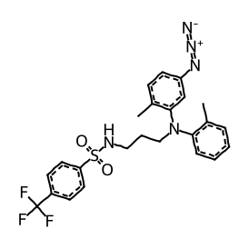 Cc1ccccc1N(CCCNS(=O)(=O)c1ccc(C(F)(F)F)cc1)c1cc(N=[N+]=[N-])ccc1C